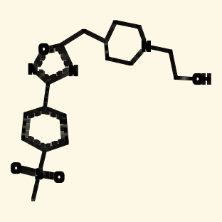 CS(=O)(=O)c1ccc(-c2noc(CC3CCN(CCO)CC3)n2)cc1